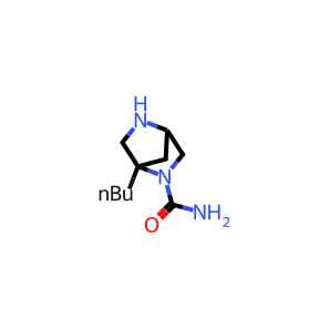 CCCCC12CNC(CN1C(N)=O)C2